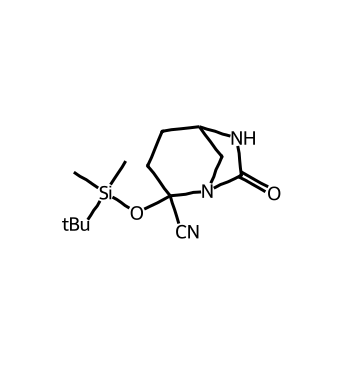 CC(C)(C)[Si](C)(C)OC1(C#N)CCC2CN1C(=O)N2